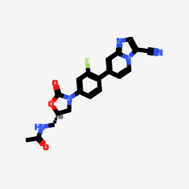 CC(=O)NC[C@H]1CN(c2ccc(-c3ccn4c(C#N)cnc4c3)c(F)c2)C(=O)O1